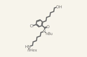 CCCCCCNCCCCCCN(CCCC)C(=O)c1cc(Cl)ccc1CCCCCCO